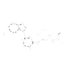 CC[C@H]1N(C)C(=O)O[C@@]12CCC[C@H](Nc1nc(-c3c[nH]c4ncc(F)cc34)ncc1F)C2